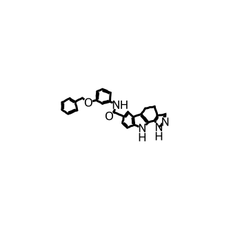 O=C(Nc1cccc(OCc2ccccc2)c1)c1ccc2[nH]c3c(c2c1)CCc1cn[nH]c1-3